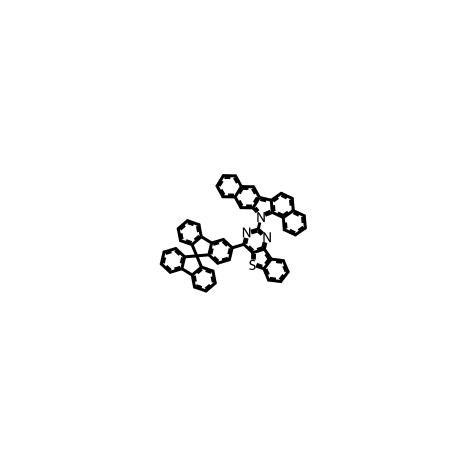 c1ccc2c(c1)-c1ccccc1C21c2ccccc2-c2cc(-c3nc(-n4c5cc6ccccc6cc5c5ccc6ccccc6c54)nc4c3sc3ccccc34)ccc21